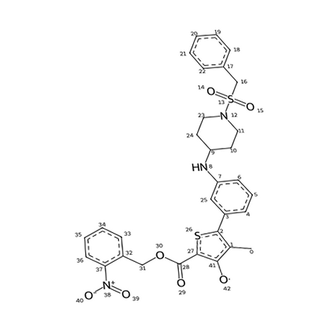 Cc1c(-c2cccc(NC3CCN(S(=O)(=O)Cc4ccccc4)CC3)c2)sc(C(=O)OCc2ccccc2[N+](=O)[O-])c1[O]